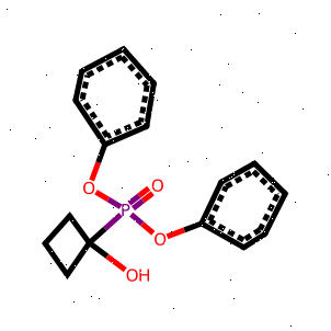 O=P(Oc1ccccc1)(Oc1ccccc1)C1(O)CCC1